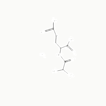 CC(O)C(=O)NC(CCC(=O)O)C(=O)O.Cl